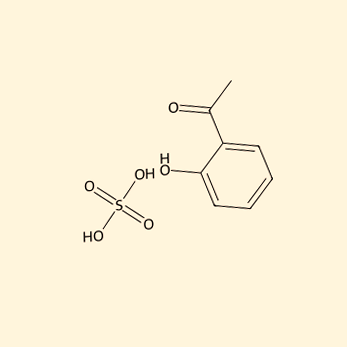 CC(=O)c1ccccc1O.O=S(=O)(O)O